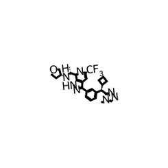 C[C@@H](N[C@@H]1CCOC1)c1nc(C(F)(F)F)cc2c(-c3cccc([C@H](c4nncn4C)C4CCC4)c3)n[nH]c12